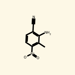 Cc1c([N+](=O)[O-])ccc(C#N)c1N